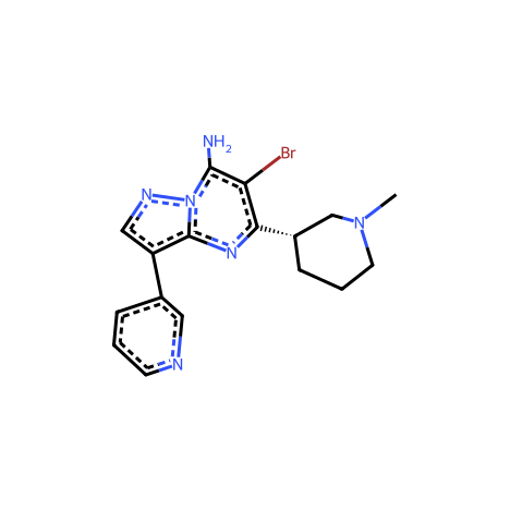 CN1CCC[C@H](c2nc3c(-c4cccnc4)cnn3c(N)c2Br)C1